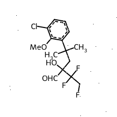 COc1c(Cl)cccc1C(C)(C)CC(O)(C=O)C(F)(F)CF